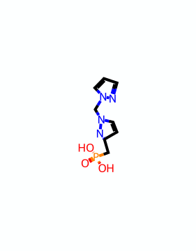 O=P(O)(O)Cc1ccn(Cn2cccn2)n1